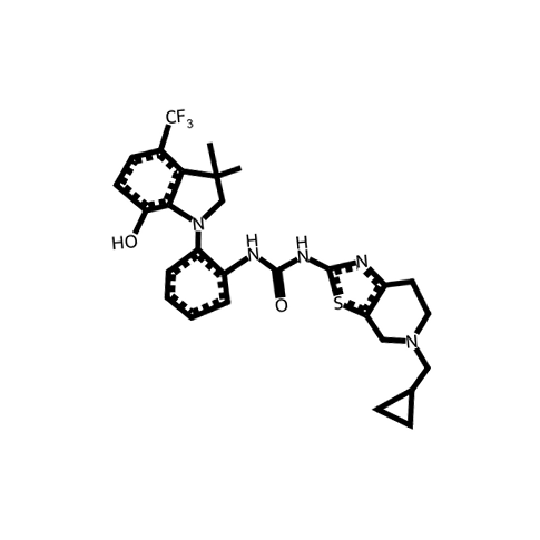 CC1(C)CN(c2ccccc2NC(=O)Nc2nc3c(s2)CN(CC2CC2)CC3)c2c(O)ccc(C(F)(F)F)c21